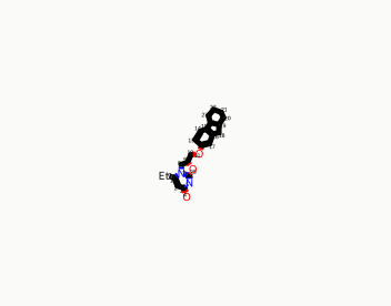 CCc1cc(=O)nc2n1CC(COc1ccc3c(c1)CC1CCCCC31)O2